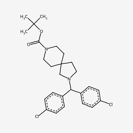 CC(C)(C)OC(=O)N1CCC2(CC1)CCN(C(c1ccc(Cl)cc1)c1ccc(Cl)cc1)C2